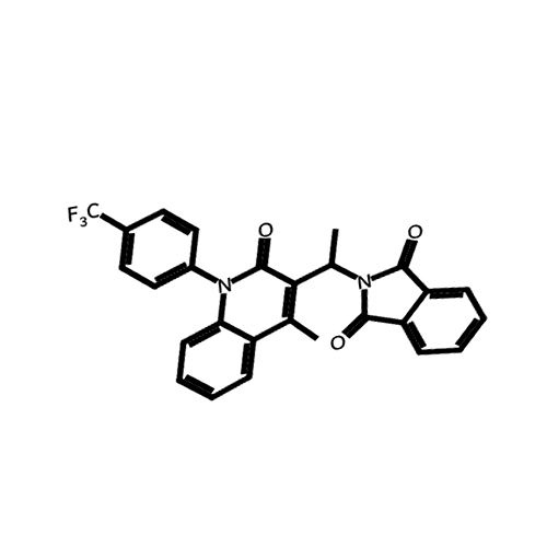 Cc1c(C(C)N2C(=O)c3ccccc3C2=O)c(=O)n(-c2ccc(C(F)(F)F)cc2)c2ccccc12